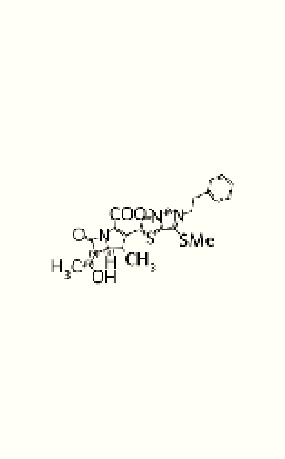 CSc1c2sc(C3=C(C(=O)[O-])N4C(=O)[C@H]([C@@H](C)O)[C@@H]4C3C)c[n+]2cn1CCc1ccccc1